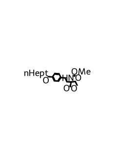 CCCCCCCC(=O)c1ccc(CCC2(NC(=O)OC)CCOC2=O)cc1